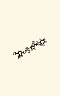 O=C(COc1ccc(Cl)c(F)c1)NC1CC2(C(=O)NCc3cccc(F)c3)CC1C2